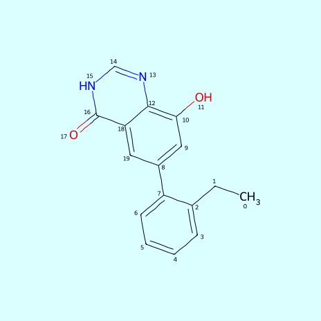 CCc1ccccc1-c1cc(O)c2nc[nH]c(=O)c2c1